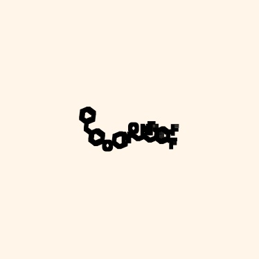 NC(CC(=O)N1CCC(Oc2ccc(Cc3ccccc3)cc2)CC1)Cc1cc(F)c(F)cc1F